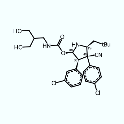 CC(C)(C)C[C@@H]1N[C@H](OC(=O)NCC(CO)CO)[C@H](c2cccc(Cl)c2)[C@@]1(C#N)c1ccc(Cl)cc1